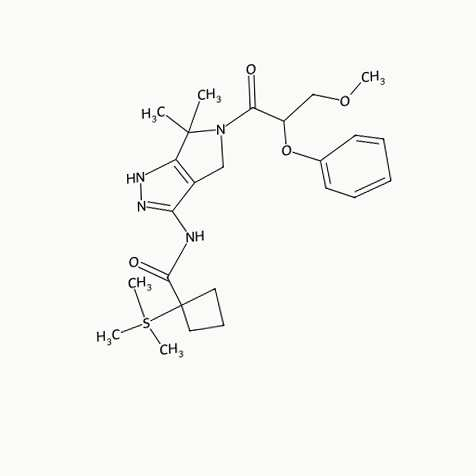 COCC(Oc1ccccc1)C(=O)N1Cc2c(NC(=O)C3(S(C)(C)C)CCC3)n[nH]c2C1(C)C